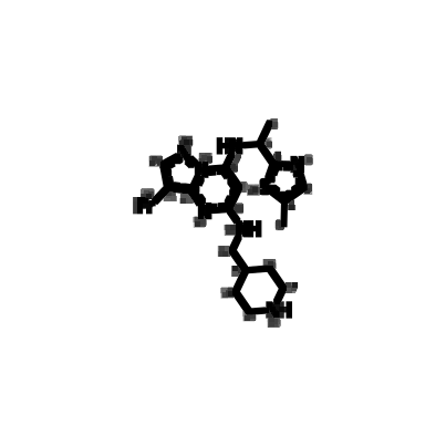 Cc1cnc(C(C)Nc2cc(NCC3CCNCC3)nc3c(C(C)C)cnn23)s1